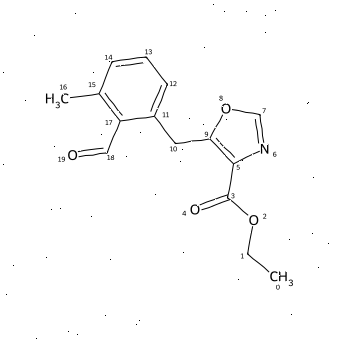 CCOC(=O)c1ncoc1Cc1cccc(C)c1C=O